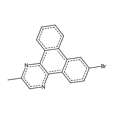 Cc1cnc2c3ccc(Br)cc3c3ccccc3c2n1